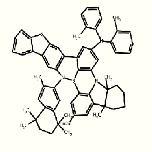 CCCCc1cc2c3c(c1)C1(C)CCCCC1(C)N3c1cc(N(c3ccccc3C)c3ccccc3C)cc3c1B2N(c1cc2c(cc1C)C(C)(C)CCC2(C)C)c1cc2c(cc1-3)sc1ccccc12